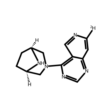 [2H]c1cc2ncnc(N3C[C@H]4CC[C@@H](C3)N4)c2cn1